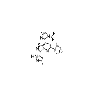 Cc1cc(-c2nsc3c(-c4nncn4C(F)F)cc(N4CCOC[C@H]4C)nc23)[nH]n1